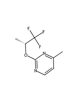 Cc1ccnc(O[C@H](C)C(F)(F)F)n1